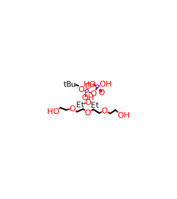 CC(C)(C)COP(=O)(O)OP(=O)(O)O.CCOCC.OCCOCCOCCOCCO